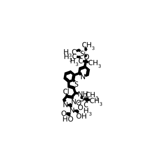 CC[Si](CC)(CC)OC(C)(C)c1ccnc(-c2cccc3cc(C(N[S@@+]([O-])C(C)(C)C)c4nc(N(C(=O)O)C(=O)O)ncc4Cl)sc23)c1